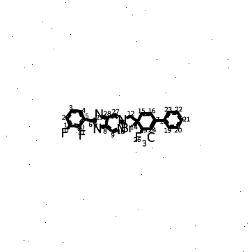 Fc1cccc(-c2nc3cnn(CC4(Br)C=CC(c5ccccc5)=CC4C(F)(F)F)cc-3n2)c1F